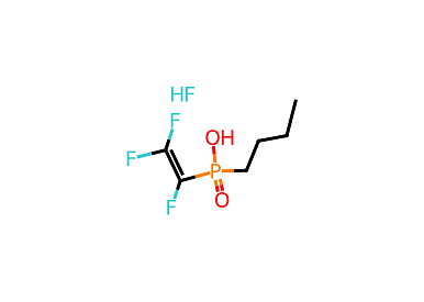 CCCCP(=O)(O)C(F)=C(F)F.F